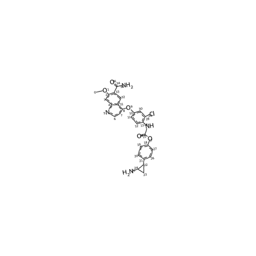 COc1cc2nccc(Oc3ccc(NC(=O)Oc4ccc(C5CC5N)cc4)c(Cl)c3)c2cc1C(N)=O